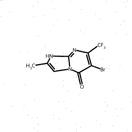 Cc1cn2c(=O)c(Br)c(C(F)(F)F)nc2[nH]1